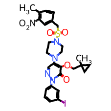 Cc1ccc(CS(=O)(=O)N2CCN(c3cnn(-c4cccc(I)c4)c(=O)c3OCC3(C)CC3)CC2)cc1[N+](=O)[O-]